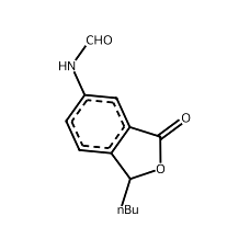 CCCCC1OC(=O)c2cc(NC=O)ccc21